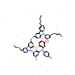 CCCCc1cc2c3c(c1)-n1c4ccc(CCCC)cc4c4cc(C)cc(c41)B3c1cc3c(cc1O2)N(c1ccc(I)cc1)c1cc(I)cc2c1B3c1cc(C)cc3c4cc(CCCC)ccc4n-2c13